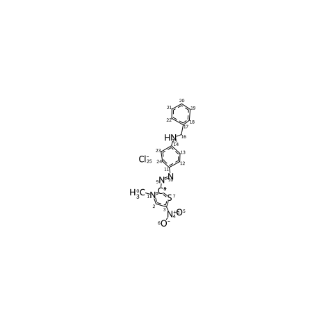 Cn1cc([N+](=O)[O-])s[c+]1N=Nc1ccc(NCc2ccccc2)cc1.[Cl-]